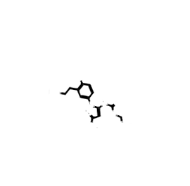 CC(C)(C)c1cc(NC(=O)OCC(Cl)(Cl)Cl)n(-c2ccc(F)c(CCO)c2)n1